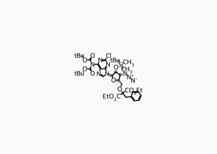 CCOC(=O)C(Cc1ccccc1)(OC[C@H]1O[C@@H](n2cnc3c(N(C(=O)OC(C)(C)C)C(=O)OC(C)(C)C)nc(Cl)nc32)[C@H](O[Si](C)(C)C(C)(C)C)[C@@H]1N=[N+]=[N-])C(=O)OCC